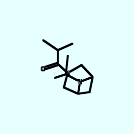 CC(C)C(=O)N1CC2CC(C1)N2C(C)C